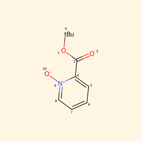 CC(C)(C)OC(=O)c1cccc[n+]1[O-]